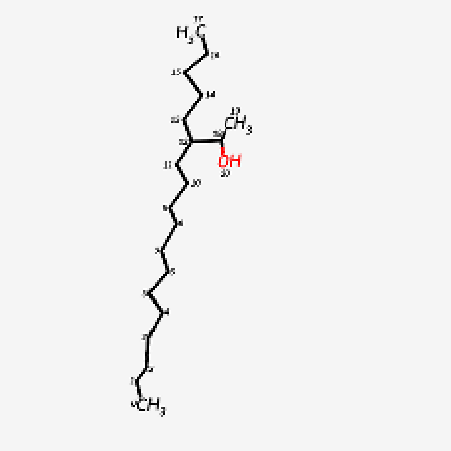 CCCCCCCCCCCCC(CCCCC)C(C)O